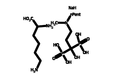 CCCCCN(C)CCC(O)(P(=O)(O)O)P(=O)(O)O.NCCCCC(N)C(=O)O.[NaH]